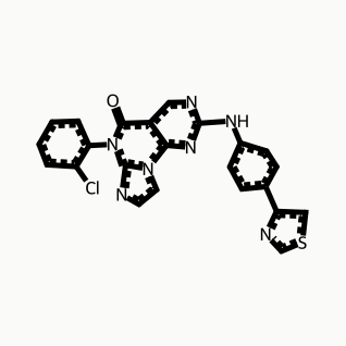 O=c1c2cnc(Nc3ccc(-c4cscn4)cc3)nc2n2ccnc2n1-c1ccccc1Cl